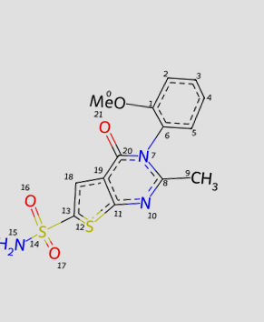 COc1ccccc1-n1c(C)nc2sc(S(N)(=O)=O)cc2c1=O